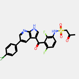 CC(=O)CS(=O)(=O)Nc1ccc(F)c(C(=O)c2c[nH]c3ncc(-c4ccc(Cl)cc4)cc23)c1F